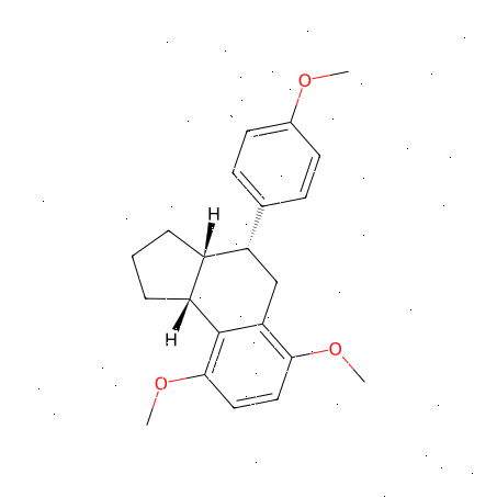 COc1ccc([C@@H]2Cc3c(OC)ccc(OC)c3[C@@H]3CCC[C@H]23)cc1